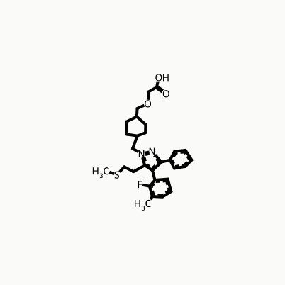 CSCCc1c(-c2cccc(C)c2F)c(-c2ccccc2)nn1CC1CCC(COCC(=O)O)CC1